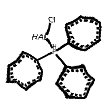 [Cl][AlH][PH](c1ccccc1)(c1ccccc1)c1ccccc1